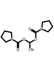 N#CC(OC(=O)N1CCCC1)OC(=O)N1CCCC1